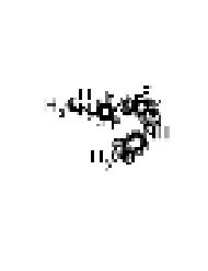 CCNCc1cc(F)c(-n2cnc(-c3nc(NC4CCN(S(C)(=O)=O)CC4)ncc3C(F)(F)F)c2)c(F)c1